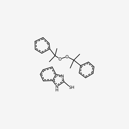 CC(C)(OOC(C)(C)c1ccccc1)c1ccccc1.Sc1nc2ccccc2[nH]1